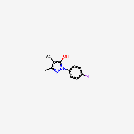 CC(=O)c1c(C)nn(-c2ccc(I)cc2)c1O